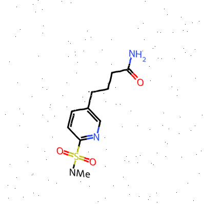 CNS(=O)(=O)c1ccc([CH]CCC(N)=O)cn1